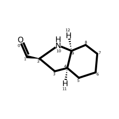 O=C[C@@H]1C[C@@H]2CCCC[C@@H]2N1